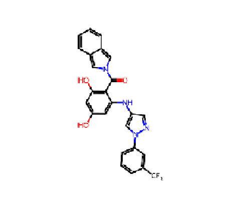 O=C(c1c(O)cc(O)cc1Nc1cnn(-c2cccc(C(F)(F)F)c2)c1)n1cc2ccccc2c1